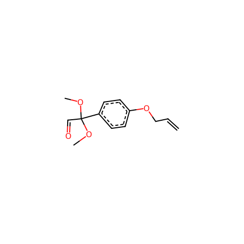 C=CCOc1ccc(C(C=O)(OC)OC)cc1